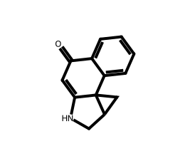 O=C1C=C2NCC3CC23c2ccccc21